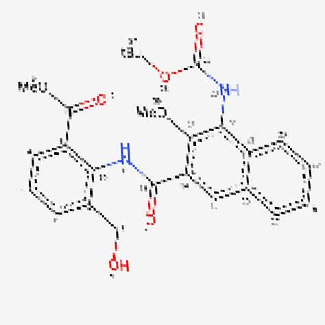 COC(=O)c1cccc(CO)c1NC(=O)c1cc2ccccc2c(NC(=O)OC(C)(C)C)c1OC